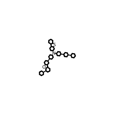 c1ccc(-c2ccc(-c3ccc(N(c4ccc(-c5ccc6oc7c(-c8ccccc8)cccc7c6c5)cc4)c4ccc5c(c4)sc4ccccc45)cc3)cc2)cc1